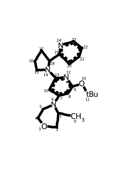 CC1COCCN1c1cc(OC(C)(C)C)nc(N2CCCC2c2ccccn2)c1